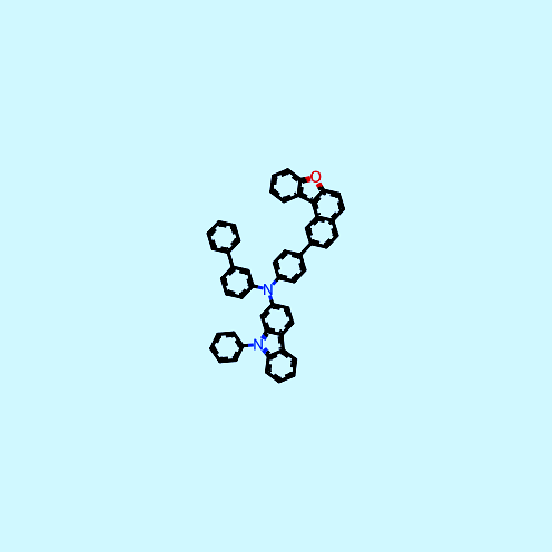 c1ccc(-c2cccc(N(c3ccc(-c4ccc5ccc6oc7ccccc7c6c5c4)cc3)c3ccc4c5ccccc5n(-c5ccccc5)c4c3)c2)cc1